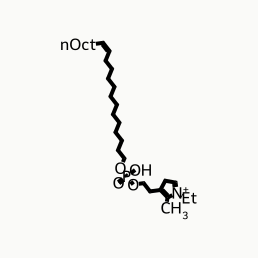 CCCCCCCC/C=C\CCCCCCCCCCCCOP(=O)(O)OCCC1=C(C)[N+](CC)=CC1